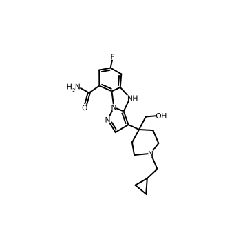 NC(=O)c1cc(F)cc2[nH]c3c(C4(CO)CCN(CC5CC5)CC4)cnn3c12